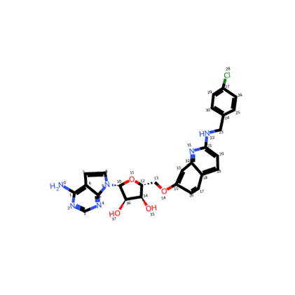 Nc1ncnc2c1ccn2[C@@H]1O[C@H](COc2ccc3ccc(NCc4ccc(Cl)cc4)nc3c2)[C@@H](O)[C@H]1O